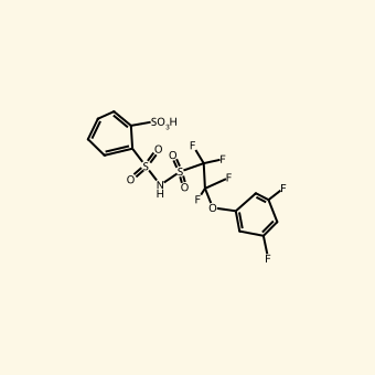 O=S(=O)(O)c1ccccc1S(=O)(=O)NS(=O)(=O)C(F)(F)C(F)(F)Oc1cc(F)cc(F)c1